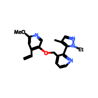 C=Cc1cc(OC)ncc1OCc1cccnc1-c1c(C)cnn1CC